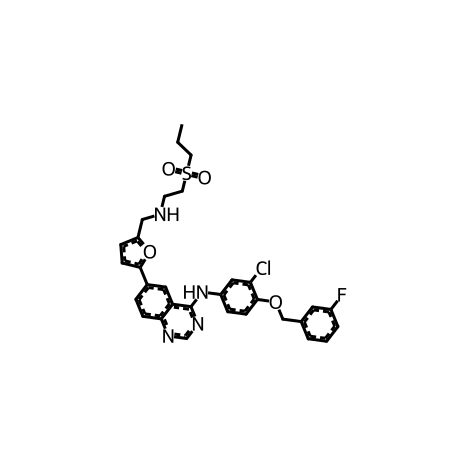 CCCS(=O)(=O)CCNCc1ccc(-c2ccc3ncnc(Nc4ccc(OCc5cccc(F)c5)c(Cl)c4)c3c2)o1